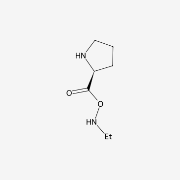 CCNOC(=O)[C@@H]1CCCN1